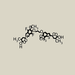 COc1c(F)c2c(c(F)c1OCCCOc1cc3cc(C(=O)CC(C)C(=O)O)sc3c(F)c1OC)CN(C(=O)CC(C)C(=O)O)C2